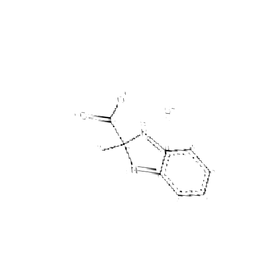 CC1(C(=O)[O-])N=c2ccccc2=N1.[Li+]